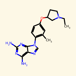 CCN1CCC(Oc2ccc(-n3cnc4c(N)nc(N)nc43)c(C)c2)C1